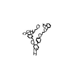 COCCCOc1cc(CO[C@H]2CNCC[C@@H]2c2ccc(OCCCOCc3ccccc3OC)cc2)ccc1C(=O)O